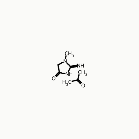 CC(C)=O.CN1CC(=O)NC1=N